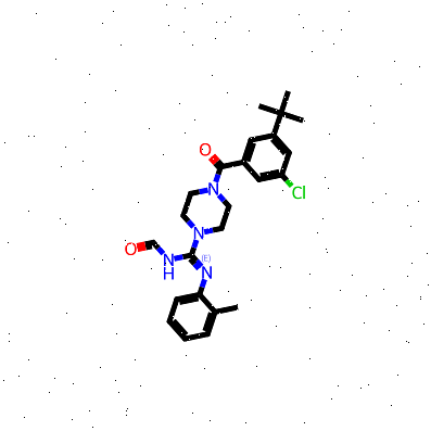 Cc1ccccc1/N=C(\NC=O)N1CCN(C(=O)c2cc(Cl)cc(C(C)(C)C)c2)CC1